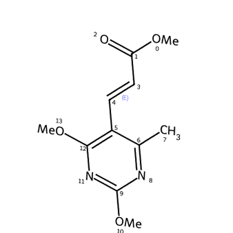 COC(=O)/C=C/c1c(C)nc(OC)nc1OC